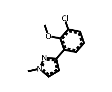 COc1c(Cl)cccc1-c1ccn(C)n1